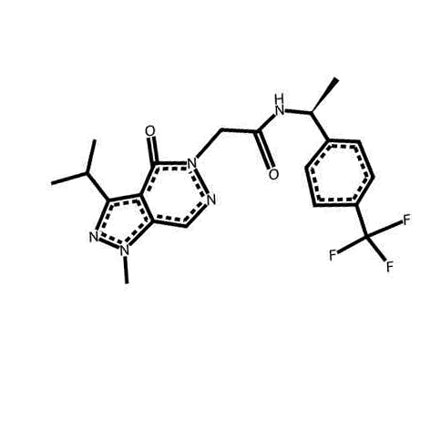 CC(C)c1nn(C)c2cnn(CC(=O)N[C@@H](C)c3ccc(C(F)(F)F)cc3)c(=O)c12